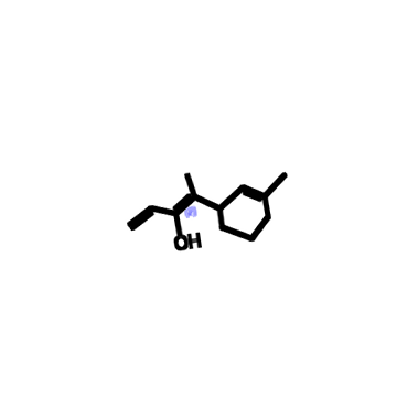 C=C/C(O)=C(\C)C1C=C(C)CCC1